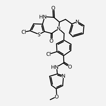 COc1ccc(NC(=O)c2ccc(CN3C(=O)c4sc(Cl)cc4NC(=O)C3Cc3ccccn3)cc2Cl)nc1